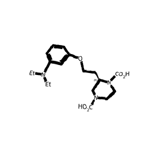 CCN(CC)c1cccc(OCC[C@@H]2CN(C(=O)O)CCN2C(=O)O)c1